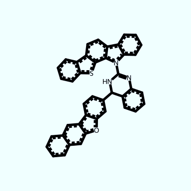 c1ccc2c(c1)N=C(n1c3ccccc3c3ccc4c5ccccc5sc4c31)NC2c1ccc2c(c1)oc1cc3ccccc3cc12